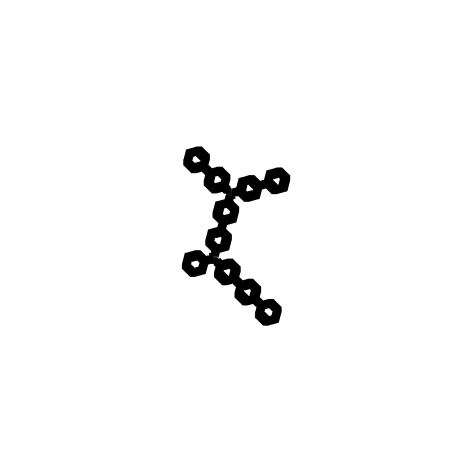 C1=CC(C2=CC=C(N(c3ccc(-c4ccccc4)cc3)C3C=CC(C4=CCC(N(c5ccc(-c6ccc(C7C=CCCC7)cc6)cc5)C5C=CCCC5)C=C4)=CC3)CC2)=CCC1